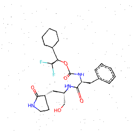 O=C(N[C@@H](Cc1ccccc1)C(=O)N[C@H](CO)C[C@@H]1CCNC1=O)OC(C(F)F)C1CCCCC1